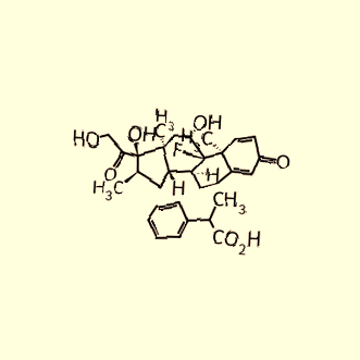 CC(C(=O)O)c1ccccc1.C[C@@H]1C[C@H]2[C@@H]3CCC4=CC(=O)C=C[C@]4(C)[C@@]3(F)[C@@H](O)C[C@]2(C)[C@@]1(O)C(=O)CO